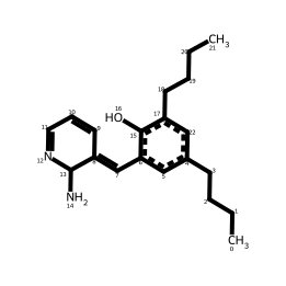 CCCCc1cc(C=C2C=CC=NC2N)c(O)c(CCCC)c1